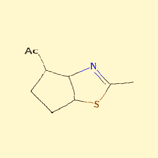 CC(=O)C1CCC2SC(C)=NC21